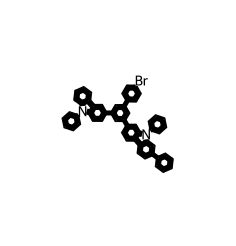 Brc1ccc(-c2cc(-c3ccc4c(c3)c3ccccc3n4-c3ccccc3)cc(-c3ccc4c5ccc(-c6ccccc6)cc5n(-c5ccccc5)c4c3)c2)cc1